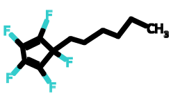 CCCCCCC1(F)C(F)=C(F)C(F)=C1F